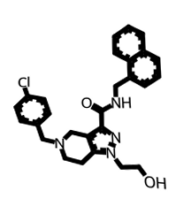 O=C(NCc1cccc2ccccc12)c1nn(CCO)c2c1CN(Cc1ccc(Cl)cc1)CC2